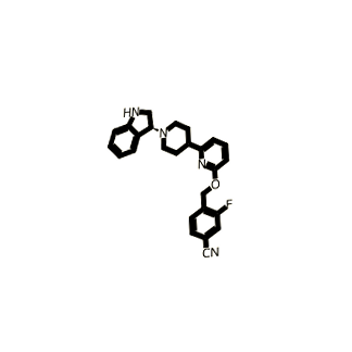 N#Cc1ccc(COc2cccc(C3CCN([C@H]4CNc5ccccc54)CC3)n2)c(F)c1